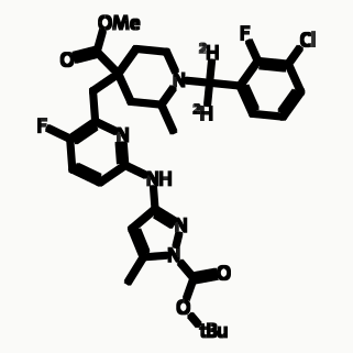 [2H]C([2H])(c1cccc(Cl)c1F)N1CCC(Cc2nc(Nc3cc(C)n(C(=O)OC(C)(C)C)n3)ccc2F)(C(=O)OC)CC1C